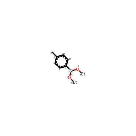 CCO[SiH](OCC)c1ccc(C)cc1